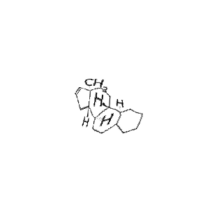 C[C@@]12C=CC[C@H]1[C@@H]1CCC3CCCC[C@@H]3[C@H]1CC2